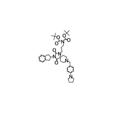 CC(C)(C)OC(=O)N(CCCN1C(=O)N(C2Cc3ccccc3C2)C(=O)C12CCN(Cc1ccc(N3CCCC3)cc1)CC2)C(=O)OC(C)(C)C